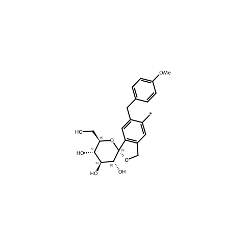 COc1ccc(Cc2cc3c(cc2F)CO[C@]32O[C@H](CO)[C@@H](O)[C@H](O)[C@H]2O)cc1